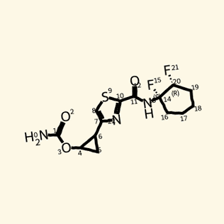 NC(=O)OC1CC1c1csc(C(=O)N[C@]2(F)CCCC[C@H]2F)n1